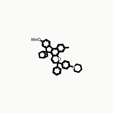 COc1ccc2c(c1)C1(CC3CCC1C3)c1c3c(c4cc(C)ccc4c1-2)OC(c1ccccc1)(c1ccc(N2CCCCC2)cc1)C=C3